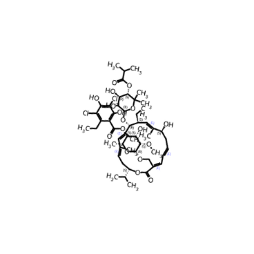 CCc1c(Cl)c(O)c(Cl)c(O)c1C(=O)O[C@H]1[C@H](O)[C@H](OC)[C@H](OC/C2=C\C=C\C[C@H](O)/C(C)=C/[C@H](CC)[C@@H](O[C@@H]3OC(C)(C)[C@@H](OC(=O)C(C)C)[C@H](O)[C@@H]3O)/C(C)=C/C(C)=C/C[C@@H](C(C)C)OC2=O)O[C@@H]1C